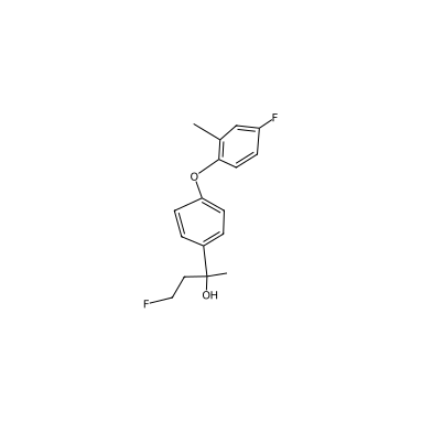 Cc1cc(F)ccc1Oc1ccc(C(C)(O)CCF)cc1